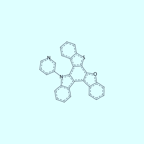 c1cncc(-n2c3ccccc3c3c4c5ccccc5oc4c4sc5ccccc5c4c32)c1